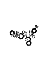 O=C(NC(CC1CCCCC1)C(=O)N[C@H]1CCCN(S(=O)(=O)c2ccccn2)CC1=O)c1ccc(Br)cc1